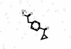 COC(=O)Cc1ccc(C(=O)C2CC2)cc1